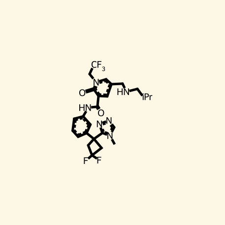 CC(C)CNCc1cc(C(=O)Nc2cccc(C3(c4nncn4C)CC(F)(F)C3)c2)c(=O)n(CC(F)(F)F)c1